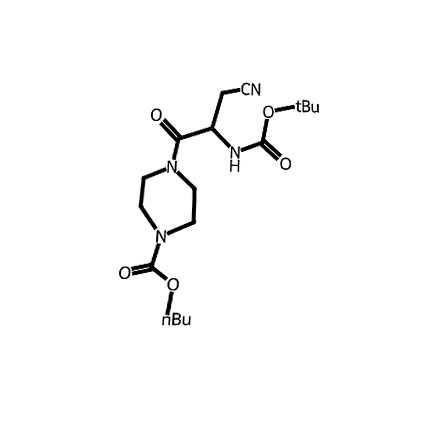 CCCCOC(=O)N1CCN(C(=O)C(CC#N)NC(=O)OC(C)(C)C)CC1